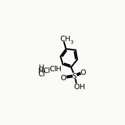 Cc1ccc(S(=O)(=O)O)cc1.Cl.Cl.Cl